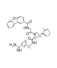 CC1=CCCC=C1[C@H]1C[C@@H](C(=O)N[C@H](C)c2cc(C(=N)N)cs2)N(C(=O)CNC(=O)c2ccc3oc4ccccc4c3c2)C1